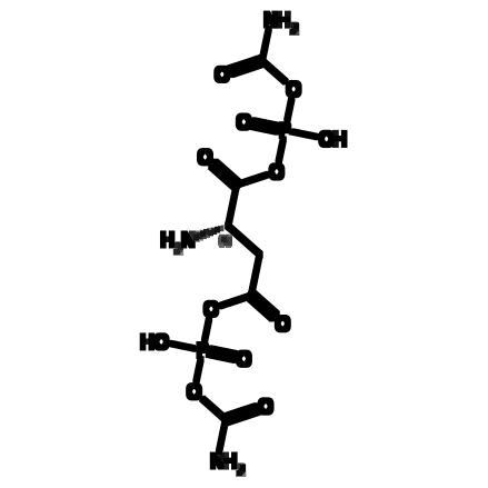 NC(=O)OP(=O)(O)OC(=O)C[C@H](N)C(=O)OP(=O)(O)OC(N)=O